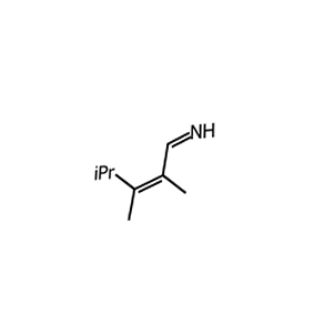 C/C(C=N)=C(\C)C(C)C